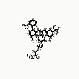 COc1ccccc1-c1ccc(C)cc1CN(Cc1cc(C)cc(C(F)(F)F)c1)c1ncc(OCCCC(=O)O)cn1